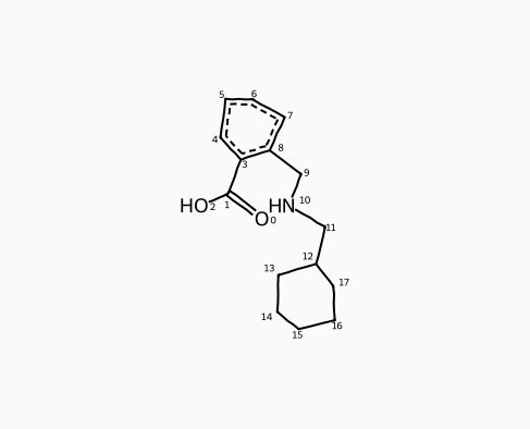 O=C(O)c1ccccc1CNCC1CCCCC1